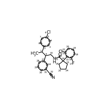 CC(c1ccc(Cl)cc1)C(CNC(=O)C1(c2c(F)cccc2Cl)CCCC1)c1cccc(C#N)c1